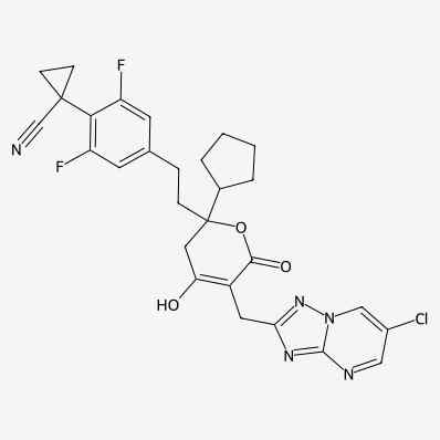 N#CC1(c2c(F)cc(CCC3(C4CCCC4)CC(O)=C(Cc4nc5ncc(Cl)cn5n4)C(=O)O3)cc2F)CC1